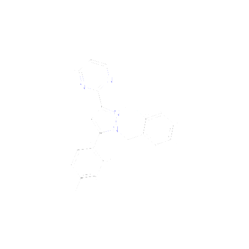 Cc1ccc(-c2cc(-c3ncccn3)nn2Cc2ccccc2F)cc1